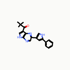 CC(C)(C)C(=O)c1c[nH]c2ncc(-c3c[nH]c(-c4ccccc4)c3)nc12